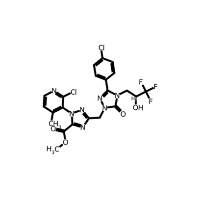 COC(=O)c1nc(Cn2nc(-c3ccc(Cl)cc3)n(C[C@H](O)C(F)(F)F)c2=O)nn1-c1c(C)ccnc1Cl